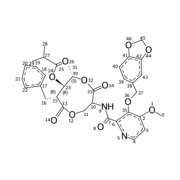 COc1ccnc(C(=O)NC2COC(=O)[C@H](Cc3ccccc3)[C@@H](OC(=O)C(C)C)[C@H](C)OC2=O)c1OCc1ccc2c(c1)OCO2